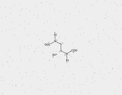 CCN(SSN(CC)C(=O)[O-])C(=O)[O-].[Zn+2]